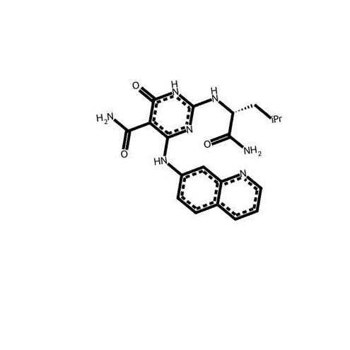 CC(C)C[C@@H](Nc1nc(Nc2ccc3cccnc3c2)c(C(N)=O)c(=O)[nH]1)C(N)=O